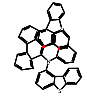 c1ccc(-c2c(N(c3ccccc3-c3cccc4c3oc3ccccc34)c3cccc4sc5ccccc5c34)c3ccccc3c3ccccc23)cc1